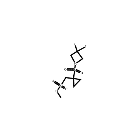 COS(=O)(=O)CC1(S(=O)(=O)N2CC(F)(F)C2)CC1